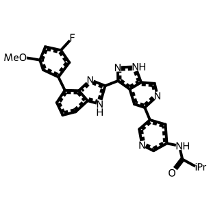 COc1cc(F)cc(-c2cccc3[nH]c(-c4n[nH]c5cnc(-c6cncc(NC(=O)C(C)C)c6)cc45)nc23)c1